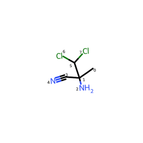 CC(N)(C#N)C(Cl)Cl